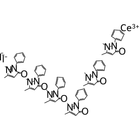 Cc1cc(=O)n(-c2ccccc2)n1C.Cc1cc(=O)n(-c2ccccc2)n1C.Cc1cc(=O)n(-c2ccccc2)n1C.Cc1cc(=O)n(-c2ccccc2)n1C.Cc1cc(=O)n(-c2ccccc2)n1C.Cc1cc(=O)n(-c2ccccc2)n1C.[Ce+3].[I-].[I-].[I-]